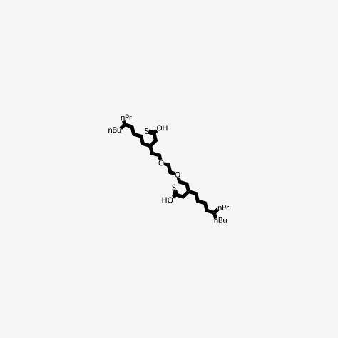 CCCCC(CCC)CCCCC(CCOCCOCCC(CCCCC(CCC)CCCC)CC(O)=S)CC(O)=S